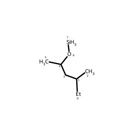 CCC(C)CC(C)O[SiH3]